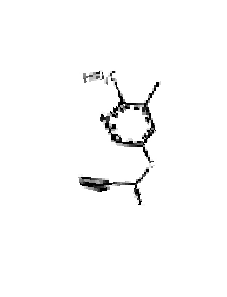 C#CC(C)Oc1cnc(C(=O)O)c(C)c1